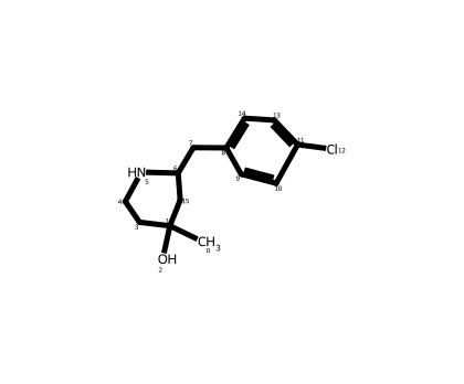 CC1(O)CCNC(Cc2ccc(Cl)cc2)C1